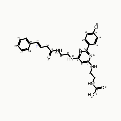 CC(=O)NCCNc1cc(NCCNC(=O)C/C=C/c2ccccc2)nc(-c2ccc(Cl)cc2)n1